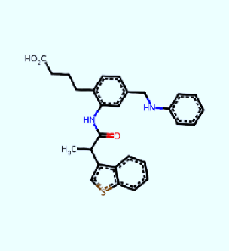 CC(C(=O)Nc1cc(CNc2ccccc2)ccc1CCCC(=O)O)c1csc2ccccc12